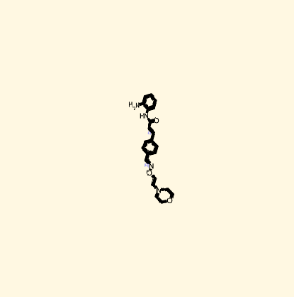 Nc1ccccc1NC(=O)/C=C/c1ccc(/C=N/OCCN2CCOCC2)cc1